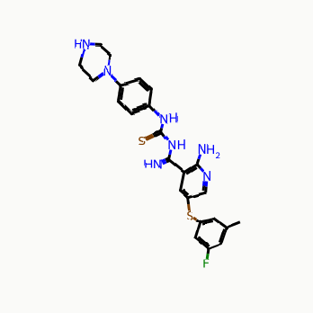 Cc1cc(F)cc(Sc2cnc(N)c(C(=N)NC(=S)Nc3ccc(N4CCNCC4)cc3)c2)c1